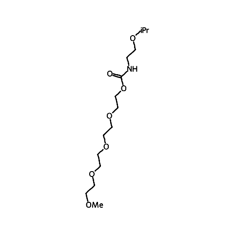 COCCOCCOCCOCCOC(=O)NCCOC(C)C